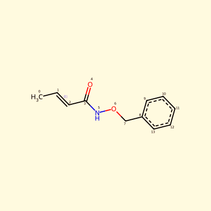 C/C=C/C(=O)NOCc1ccccc1